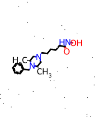 C[C@@H]1CN(CCCCCC(=O)NO)C[C@H](C)N1Cc1ccccc1